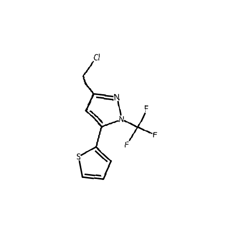 FC(F)(F)n1nc(CCl)cc1-c1cccs1